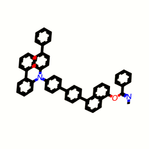 C/N=C(\Oc1cccc2c(-c3ccc(-c4ccc(N(c5ccc(-c6ccccc6)cc5)c5ccccc5-c5ccccc5)cc4)cc3)cccc12)c1ccccc1